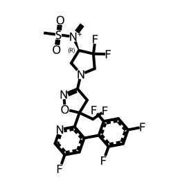 C=[N+]([C@@H]1CN(C2=NOC(CF)(c3ncc(F)cc3-c3c(F)cc(F)cc3F)C2)CC1(F)F)S(C)(=O)=O